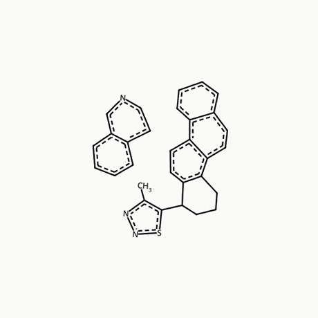 Cc1nnsc1C1CCCc2c1ccc1c2ccc2ccccc21.c1ccc2cnccc2c1